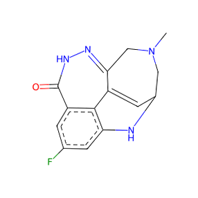 CN1CC2=NNC(=O)c3cc(F)cc4c3C2=CC(C1)N4